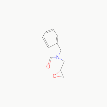 O=CN(Cc1ccccc1)CC1CO1